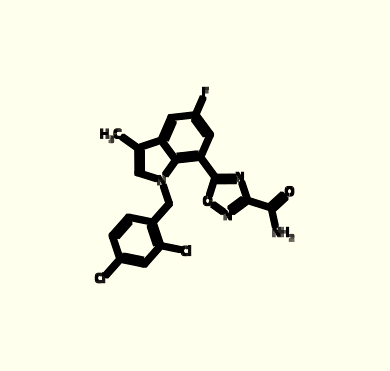 Cc1cn(Cc2ccc(Cl)cc2Cl)c2c(-c3nc(C(N)=O)no3)cc(F)cc12